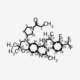 CCC(=O)N1CCC(N2CC(C)(C)Oc3cc4nc(C)nc(N[C@H](C)c5cccc(C(F)F)c5F)c4cc32)C1